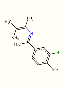 CCCc1ccc(/C(C)=N/C(C)=C(C)C)cc1F